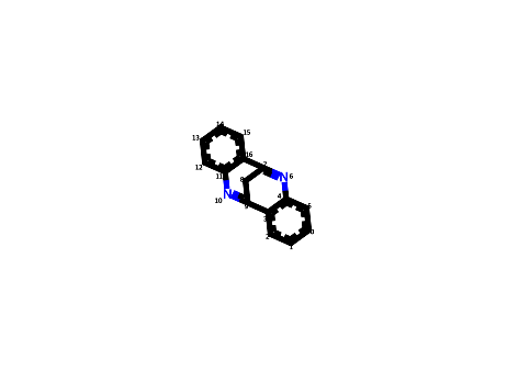 c1ccc2c(c1)N=C1CC2=Nc2ccccc21